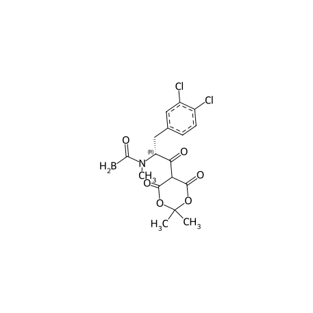 BC(=O)N(C)[C@H](Cc1ccc(Cl)c(Cl)c1)C(=O)C1C(=O)OC(C)(C)OC1=O